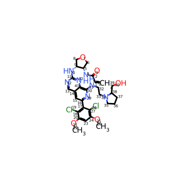 C=CC(=O)N[C@H]1COC[C@H]1Nc1ncc2cc(-c3c(Cl)c(OC)cc(OC)c3Cl)nc(NCCN3CCCC3CO)c2n1